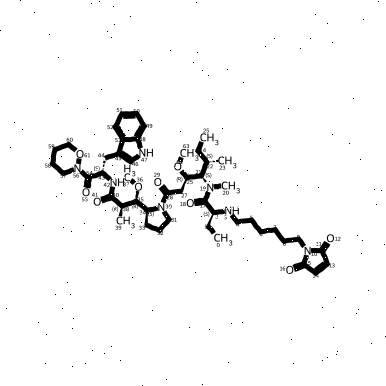 CC[C@H](NCCCCCCN1C(=O)C=CC1=O)C(=O)N(C)[C@@H]([C@@H](C)CC)[C@@H](CC(=O)N1CCC[C@H]1[C@H](OC)[C@@H](C)C(=O)N[C@@H](Cc1c[nH]c2ccccc12)C(=O)N1CCCCO1)OC